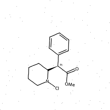 COC(=O)[C@H](c1ccccc1)C1CCCCN1Cl